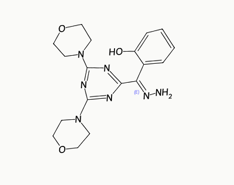 N/N=C(/c1nc(N2CCOCC2)nc(N2CCOCC2)n1)c1ccccc1O